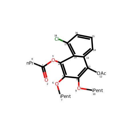 CCCC(=O)Oc1c(OC(C)CCC)c(OC(C)CCC)c(OC(C)=O)c2cccc(Cl)c12